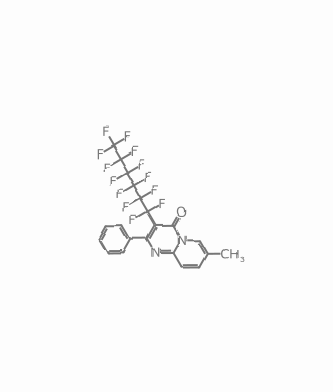 Cc1ccc2nc(-c3ccccc3)c(C(F)(F)C(F)(F)C(F)(F)C(F)(F)C(F)(F)C(F)(F)F)c(=O)n2c1